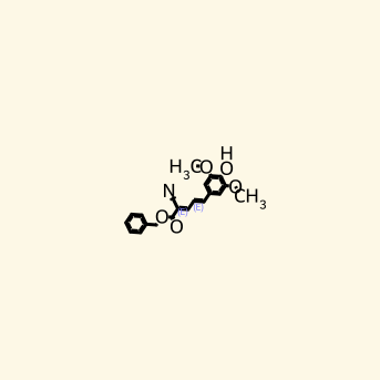 COc1cc(/C=C/C=C(\C#N)C(=O)OCc2ccccc2)cc(OC)c1O